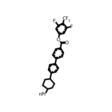 CCCC1CCC(c2ccc(-c3ccc(C(=O)Oc4cc(F)c(C(F)(F)F)c(F)c4)cc3)cc2)CC1